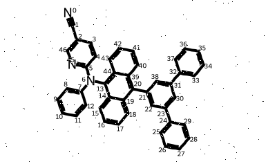 N#Cc1ccc(N(c2ccccc2)c2c3ccccc3c(-c3cc(-c4ccccc4)cc(-c4ccccc4)c3)c3ccccc23)nc1